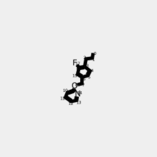 CCCc1ccc(COc2ccccn2)cc1F